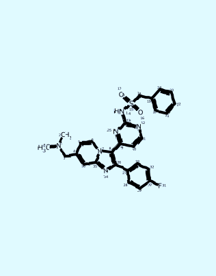 CN(C)Cc1ccn2c(-c3ccnc(NS(=O)(=O)Cc4ccccc4)n3)c(-c3ccc(F)cc3)nc2c1